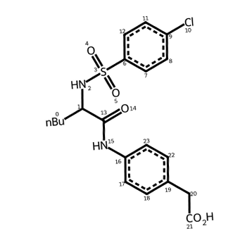 CCCCC(NS(=O)(=O)c1ccc(Cl)cc1)C(=O)Nc1ccc(CC(=O)O)cc1